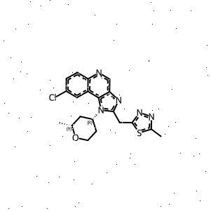 Cc1nnc(Cc2nc3cnc4ccc(Cl)cc4c3n2[C@@H]2CCO[C@H](C)C2)s1